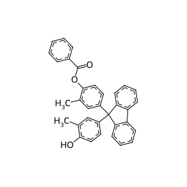 Cc1cc(C2(c3ccc(OC(=O)c4ccccc4)c(C)c3)c3ccccc3-c3ccccc32)ccc1O